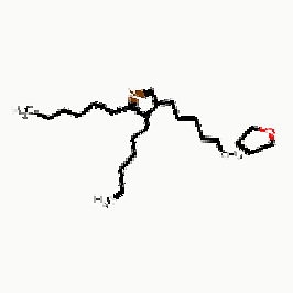 C1CCOC1.CCCCCCc1csc(CCCCCC)c1CCCCCC